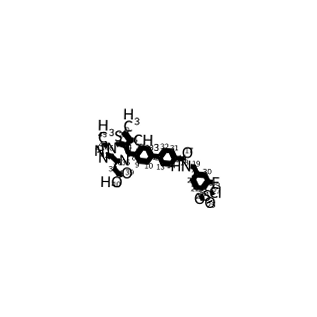 Cc1sc2c(c1C)C(c1ccc(-c3ccc(C(=O)NCc4ccc(S(=O)(=O)Cl)c(F)c4)cc3)cc1)=N[C@@H](CC(=O)O)c1nnc(C)n1-2